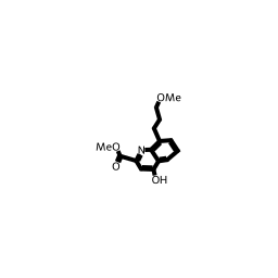 COCCCc1cccc2c(O)cc(C(=O)OC)nc12